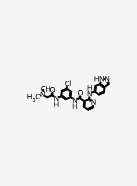 CN(C)CC(=O)Nc1cc(Cl)cc(NC(=O)c2cccnc2Nc2ccc3cn[nH]c3c2)c1